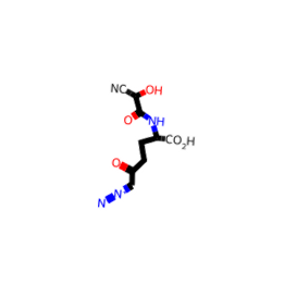 N#CC(O)C(=O)NC(CCC(=O)C=[N+]=[N-])C(=O)O